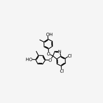 Cc1cc(OC2(Oc3ccc(O)c(C)c3)C=Nc3c(Cl)cc(Cl)cc32)ccc1O